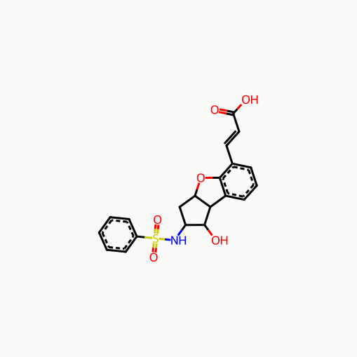 O=C(O)/C=C/c1cccc2c1OC1CC(NS(=O)(=O)c3ccccc3)C(O)C21